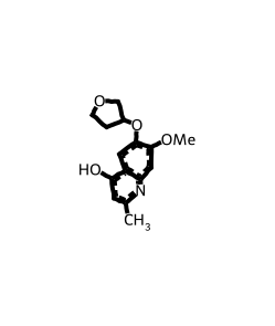 COc1cc2nc(C)cc(O)c2cc1OC1CCOC1